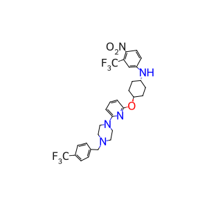 O=[N+]([O-])c1ccc(N[C@H]2CC[C@H](Oc3cccc(N4CCN(Cc5ccc(C(F)(F)F)cc5)CC4)n3)CC2)cc1C(F)(F)F